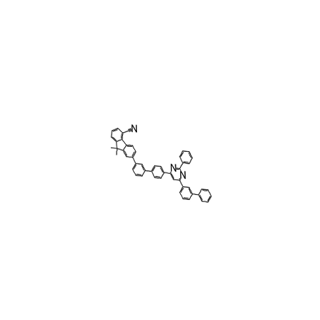 CC1(C)c2cc(-c3cccc(-c4ccc(-c5cc(-c6cccc(-c7ccccc7)c6)nc(-c6ccccc6)n5)cc4)c3)ccc2-c2c(C#N)cccc21